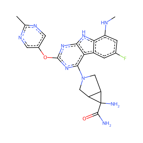 CNc1cc(F)cc2c1[nH]c1nc(Oc3cnc(C)nc3)nc(N3CC4C(C3)C4(N)C(N)=O)c12